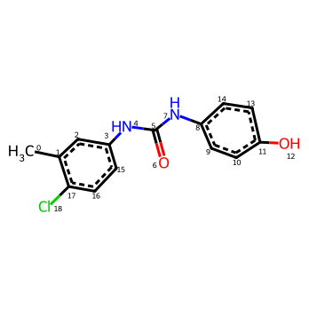 Cc1cc(NC(=O)Nc2ccc(O)cc2)ccc1Cl